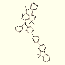 CC1(C)C=CN2c3ccccc3C(C)(C)c3ncc(-n4c5ccccc5c5cc(-c6ccc(-c7ccc8c(c7)C(C)(C)c7ccccc7-8)cc6)ccc54)c1c32